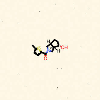 Cc1ccc(C(=O)N2C[C@@H]3CC[C@H](O)[C@@H]3C2)s1